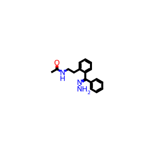 CC(=O)NCCc1ccccc1C(=NN)c1ccccc1